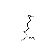 CC[SiH](C)OCCCOC